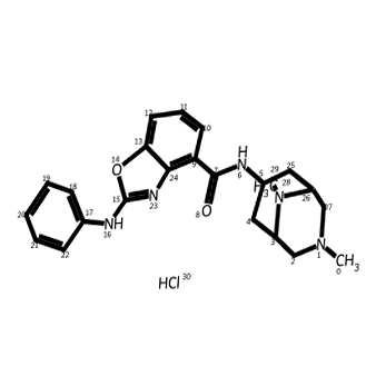 CN1CC2CC(NC(=O)c3cccc4oc(Nc5ccccc5)nc34)CC(C1)N2C.Cl